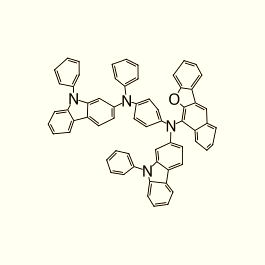 c1ccc(N(c2ccc(N(c3ccc4c5ccccc5n(-c5ccccc5)c4c3)c3c4ccccc4cc4c3oc3ccccc34)cc2)c2ccc3c4ccccc4n(-c4ccccc4)c3c2)cc1